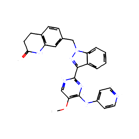 COc1cnc(-c2nn(Cc3ccc4c(c3)NC(=O)CC4)c3ccccc23)nc1Nc1ccncc1